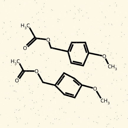 COc1ccc(COC(C)=O)cc1.COc1ccc(COC(C)=O)cc1